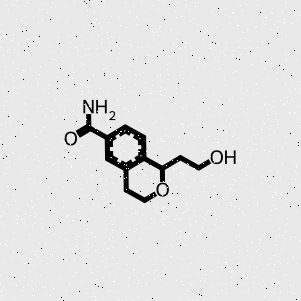 NC(=O)c1ccc2c(c1)CCOC2CCO